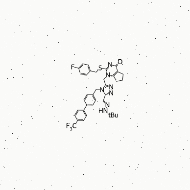 CC(C)(C)NN=Cc1nnc(Cn2c(SCc3ccc(F)cc3)nc(=O)c3c2CCC3)n1Cc1ccc(-c2ccc(C(F)(F)F)cc2)cc1